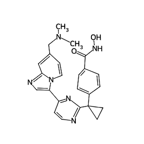 CN(C)Cc1ccn2c(-c3ccnc(C4(c5ccc(C(=O)NO)cc5)CC4)n3)cnc2c1